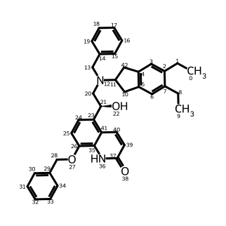 CCc1cc2c(cc1CC)CC(N(Cc1ccccc1)C[C@@H](O)c1ccc(OCc3ccccc3)c3[nH]c(=O)ccc13)C2